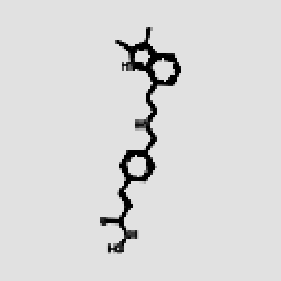 Cc1[nH]c2c(CCNCc3ccc(/C=C/C(=O)NO)cc3)cccc2c1C